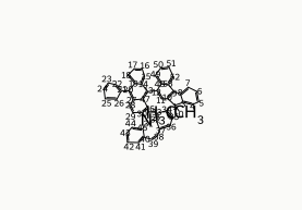 CC1(C)c2ccccc2-c2c1cc(-c1c3ccccc3c(-c3ccccc3)c3ccc(N4c5ccccc5C=Cc5ccccc54)cc13)c1ccccc21